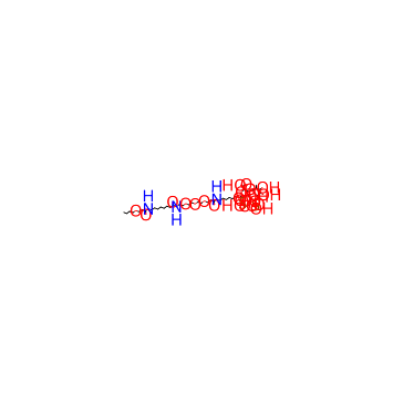 CCCCOCCC(=O)NCCCCCCCC(=O)NCCOCCOCCOCCC(=O)NCCCCCCOC1OC(C(=O)O)C(OC2OC(COS(=O)(=O)O)C(O)C(O)C2C)C(O)C1OS(=O)(=O)O